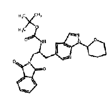 CC(C)(C)OC(=O)N[C@@H](Cc1cnc2c(cnn2C2CCCCO2)c1)CN1C(=O)c2ccccc2C1=O